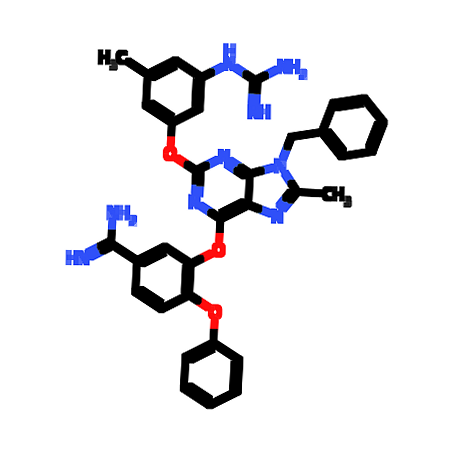 Cc1cc(NC(=N)N)cc(Oc2nc(Oc3cc(C(=N)N)ccc3Oc3ccccc3)c3nc(C)n(Cc4ccccc4)c3n2)c1